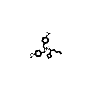 C=CCCC(SN(Cc1ccc(OC)cc1)Cc1ccc(OC)cc1)C1CCC1